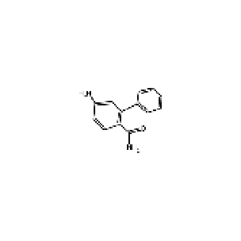 NC(=O)c1ccc(N)cc1-c1ccccc1